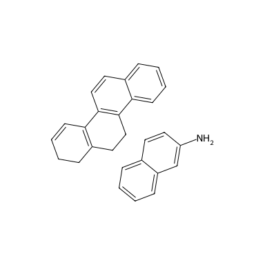 C1=CC2=C(CC1)CCc1c2ccc2ccccc12.Nc1ccc2ccccc2c1